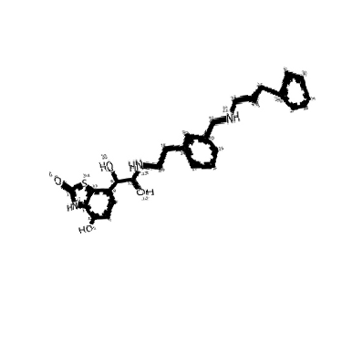 O=c1[nH]c2c(O)ccc(C(O)C(O)NCCc3cccc(CNCCCc4ccccc4)c3)c2s1